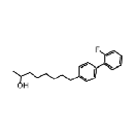 CC(O)CCCCCCc1ccc(-c2ccccc2F)cc1